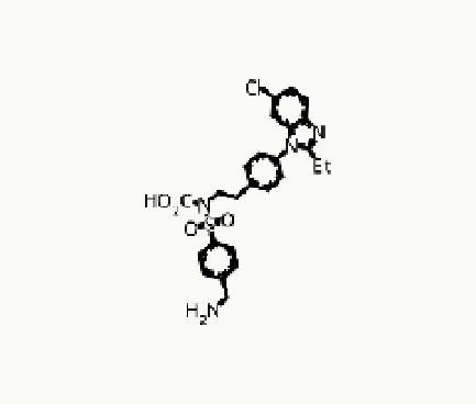 CCc1nc2ccc(Cl)cc2n1-c1ccc(CCN(C(=O)O)S(=O)(=O)c2ccc(CN)cc2)cc1